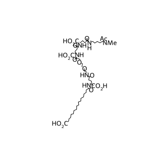 CN[C@@H](CCCCNC(=O)CC[C@H](NC(=O)CC[C@H](NC(=O)COCCOCCNC(=O)CC[C@H](NC(=O)CCCCCCCCCCCCCCCCC(=O)O)C(=O)O)C(=O)O)C(=O)O)C(C)=O